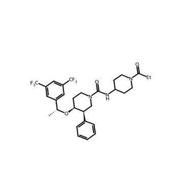 CCC(=O)N1CCC(NC(=O)N2CC[C@H](O[C@H](C)c3cc(C(F)(F)F)cc(C(F)(F)F)c3)[C@H](c3ccccc3)C2)CC1